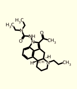 CCCN1CCC[C@@H]2c3cccc4c3c(c(C(C)=O)n4NC(=O)N(CC)CC)C[C@H]21